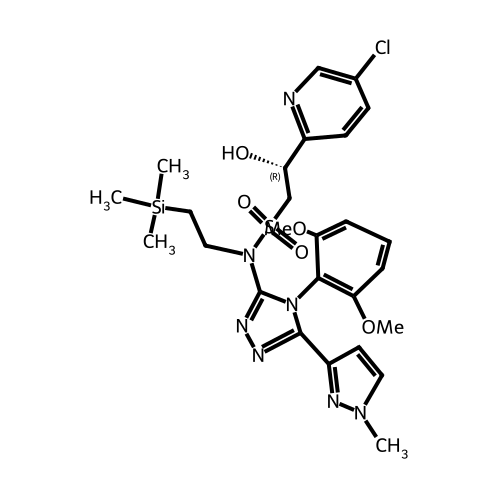 COc1cccc(OC)c1-n1c(-c2ccn(C)n2)nnc1N(CC[Si](C)(C)C)S(=O)(=O)C[C@H](O)c1ccc(Cl)cn1